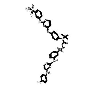 CC(C)(C)N(C(=O)ONS(=O)(=O)c1cccc(Nc2nccc(Nc3ccc(N)cc3)n2)c1)c1ccc(Nc2ccnc(Nc3cccc(S(N)(=O)=O)c3)n2)cc1